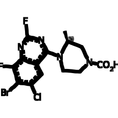 C[C@H]1CN(C(=O)O)CCN1c1nc(F)nc2c(F)c(Br)c(Cl)cc12